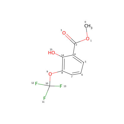 COC(=O)c1cccc(OC(F)(F)F)c1O